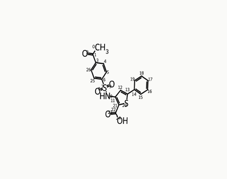 CC(=O)c1ccc(S(=O)(=O)Nc2cc(-c3ccccc3)sc2C(=O)O)cc1